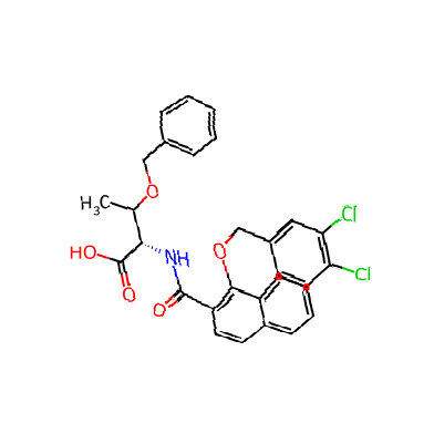 CC(OCc1ccccc1)[C@H](NC(=O)c1ccc2ccccc2c1OCc1ccc(Cl)c(Cl)c1)C(=O)O